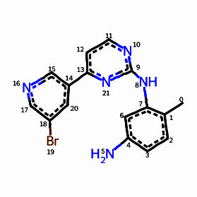 Cc1ccc(N)cc1Nc1nccc(-c2cncc(Br)c2)n1